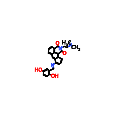 CN(C)CCN1C(=O)c2cccc3cc4c(N=Cc5cc(O)ccc5O)cccc4c(c23)C1=O